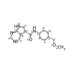 COCc1ccc(NC(=O)c2c[nH]c3ncncc23)cc1